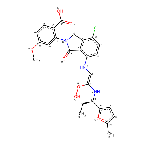 CC[C@@H](NC(=CNc1ccc(Cl)c2c1C(=O)N(c1cc(OC)ccc1C(=O)O)C2)OO)c1ccc(C)o1